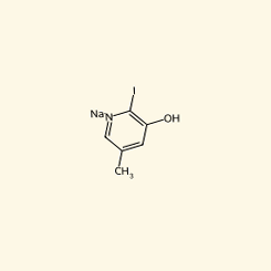 Cc1cnc(I)c(O)c1.[Na]